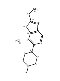 CN1CCN(c2ccc3nc(CN)sc3c2)CC1.Cl